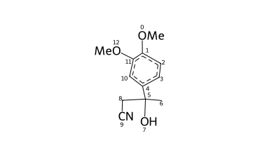 COc1ccc(C(C)(O)CC#N)cc1OC